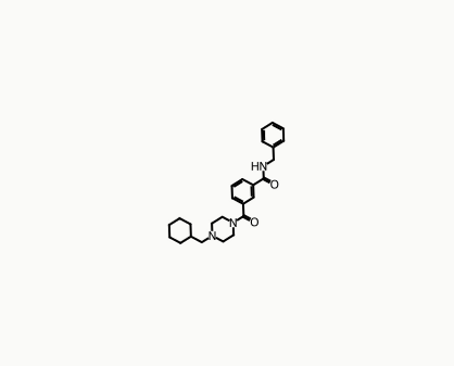 O=C(NCc1ccccc1)c1cccc(C(=O)N2CCN(CC3CCCCC3)CC2)c1